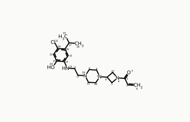 C=CC(=O)N1CC(N2CCN(CCNc3cc(C(C)C)c(Cl)cc3O)CC2)C1